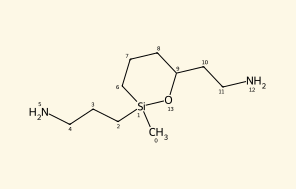 C[Si]1(CCCN)CCCC(CCN)O1